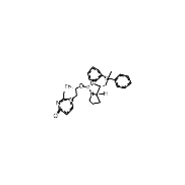 CC[C@@H](Cn1ccc(=O)nc1C)O[P@@]1O[C@H](C[Si](C)(c2ccccc2)c2ccccc2)[C@@H]2CCCN21